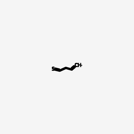 [CH]=CCC=S